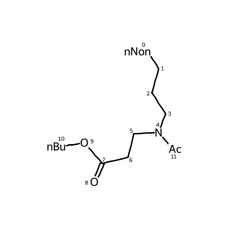 CCCCCCCCCCCCN(CCC(=O)OCCCC)C(C)=O